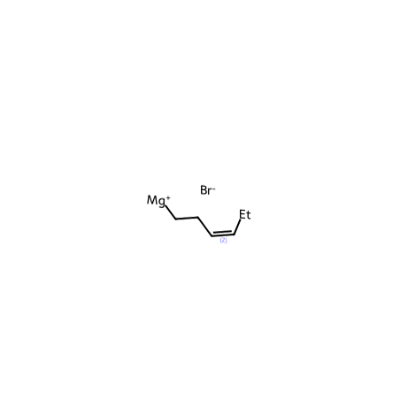 CC/C=C\C[CH2][Mg+].[Br-]